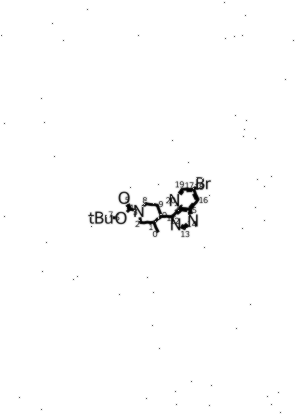 CC1CN(C(=O)OC(C)(C)C)CCC1c1ncnc2cc(Br)cnc12